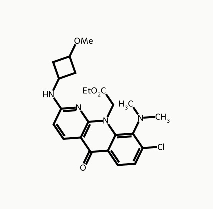 CCOC(=O)Cn1c2nc(NC3CC(OC)C3)ccc2c(=O)c2ccc(Cl)c(N(C)C)c21